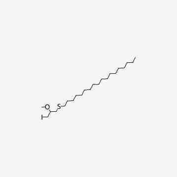 CCCCCCCCCCCCCCCCCCSCC(CI)OC